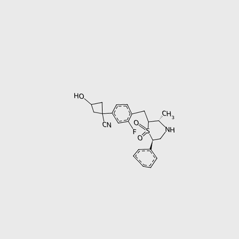 C[C@@H]1NC[C@@H](c2ccccc2)S(=O)(=O)C1Cc1ccc(C2(C#N)CC(O)C2)cc1F